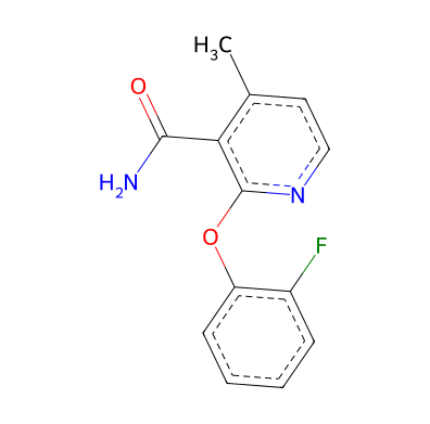 Cc1ccnc(Oc2ccccc2F)c1C(N)=O